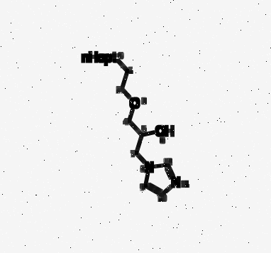 CCCCCCCCCOCC(O)Cn1ccnc1